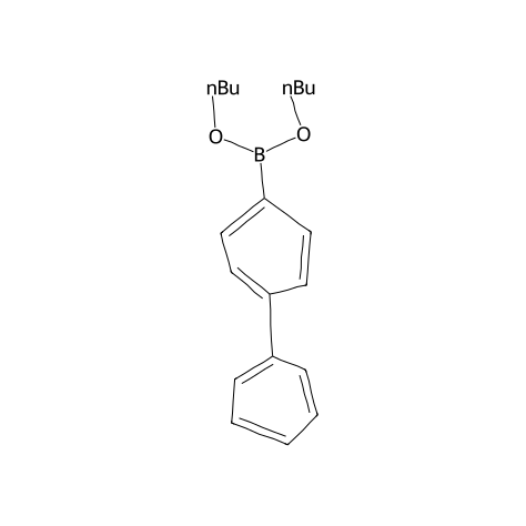 CCCCOB(OCCCC)c1ccc(-c2ccccc2)cc1